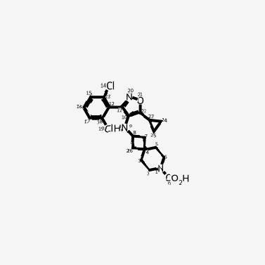 O=C(O)N1CCC2(CC1)CC(Nc1c(-c3c(Cl)cccc3Cl)noc1C1CC1)C2